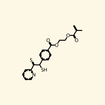 C=C(C)C(=O)OCCOC(=O)c1ccc(C(S)C(=S)c2ccccn2)cc1